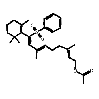 CC(=O)OCC=C(C)CCC=C(C)C=C(C1=C(C)CCCC1(C)C)S(=O)(=O)c1ccccc1